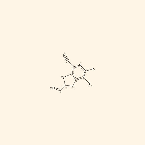 Cc1nc(C#N)c2c(c1F)CC(C=O)C2